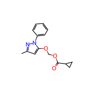 Cc1cc(OCOC(=O)C2CC2)n(-c2ccccc2)n1